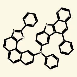 c1ccc(-c2nc3ccc4ccc5ccc(N(c6ccccc6)c6ccc7sc8c9ccccc9cc(-c9ccccc9)c8c7c6)cc5c4c3o2)cc1